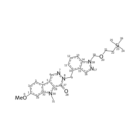 COc1ccc2c3cnn(Cc4cccc5c4cnn5COCC[Si](C)(C)C)c(=O)c3n(C)c2c1